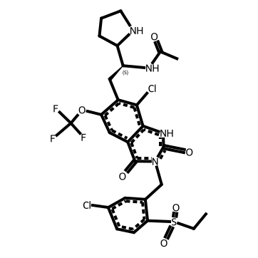 CCS(=O)(=O)c1ccc(Cl)cc1Cn1c(=O)[nH]c2c(Cl)c(C[C@H](NC(C)=O)C3CCCN3)c(OC(F)(F)F)cc2c1=O